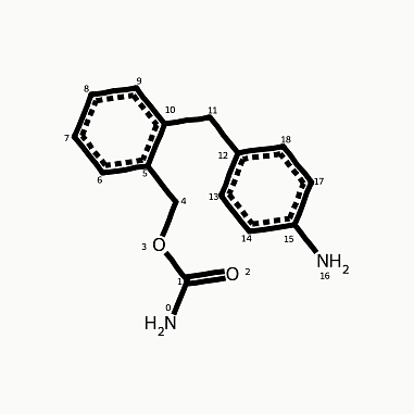 NC(=O)OCc1ccccc1Cc1ccc(N)cc1